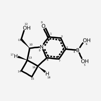 O=c1cc(B(O)O)cc2n1[C@H](CO)[C@H]1CC[C@@H]21